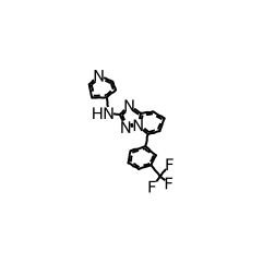 FC(F)(F)c1cccc(-c2cccc3nc(Nc4ccncc4)nn23)c1